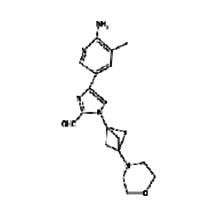 Cc1cc(-c2cn(C34CC(N5CCOCC5)(C3)C4)c(C=O)n2)cnc1N